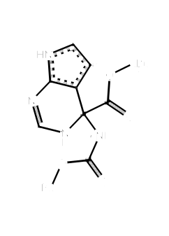 CC(C)(C)OC(=O)NC1(C(=O)OC(C)(C)C)NC=Nc2[nH]ccc21